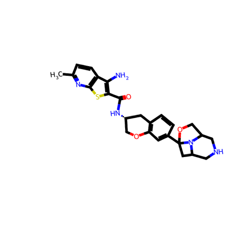 Cc1ccc2c(N)c(C(=O)N[C@H]3COc4cc(C56CC7CNCC(CO5)N76)ccc4C3)sc2n1